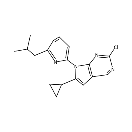 CC(C)Cc1cccc(-n2c(C3CC3)cc3cnc(Cl)nc32)n1